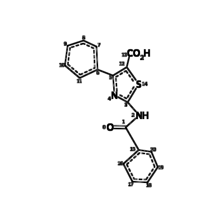 O=C(Nc1nc(-c2ccccc2)c(C(=O)O)s1)c1ccccc1